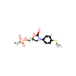 CSc1ccc(N2C[C@H](COS(C)(=O)=O)OC2=O)cc1